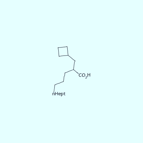 CCCCCCCCCCC(CC1CCC1)C(=O)O